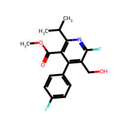 COC(=O)c1c(C(C)C)nc(F)c(CO)c1-c1ccc(F)cc1